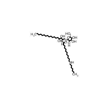 CCCCCCCCCCCCCCC(O)C(O)C(CO[C@H]1O[C@H](CO)[C@H](O)[C@H](O)[C@H]1O)NC(=O)CCCCCCCCCCCNCCCCCCC